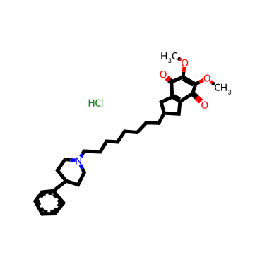 COC1=C(OC)C(=O)C2=C(CC(CCCCCCCCN3CCC(c4ccccc4)CC3)C2)C1=O.Cl